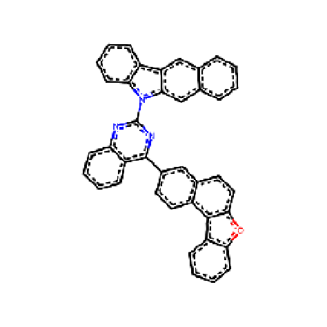 c1ccc2cc3c(cc2c1)c1ccccc1n3-c1nc(-c2ccc3c(ccc4oc5ccccc5c43)c2)c2ccccc2n1